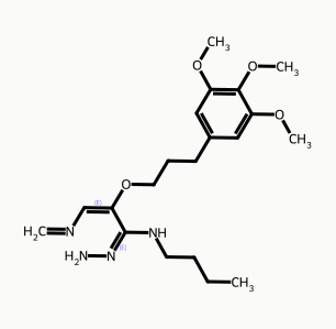 C=N/C=C(OCCCc1cc(OC)c(OC)c(OC)c1)\C(=N/N)NCCCC